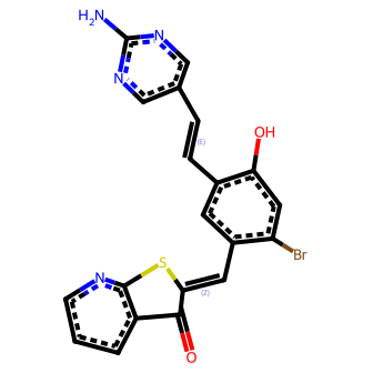 Nc1ncc(/C=C/c2cc(/C=C3\Sc4ncccc4C3=O)c(Br)cc2O)cn1